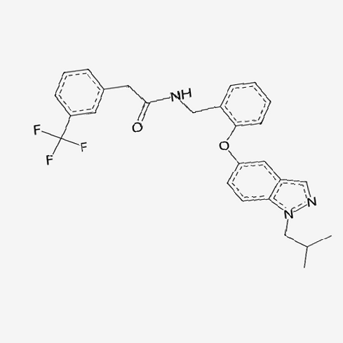 CC(C)Cn1ncc2cc(Oc3ccccc3CNC(=O)Cc3cccc(C(F)(F)F)c3)ccc21